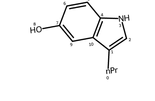 [CH2]CCc1c[nH]c2ccc(O)cc12